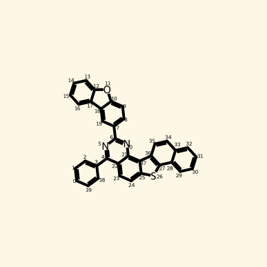 c1ccc(-c2nc(-c3ccc4oc5ccccc5c4c3)nc3c2ccc2sc4c5ccccc5ccc4c23)cc1